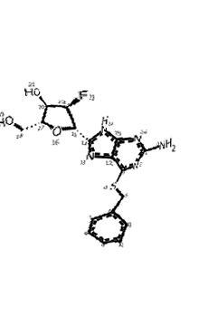 Nc1nc(SCc2ccccc2)c2nc([C@@H]3O[C@H](CO)[C@@H](O)[C@H]3F)[nH]c2n1